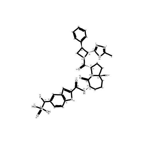 Cc1nnc([C@H]2[C@H](c3ccccc3)CN2C(=O)[C@@H]2CC[C@@H]3CCC[C@H](NC(=O)c4cc5cc(C(F)P(=O)(O)O)ccc5s4)C(=O)N32)o1